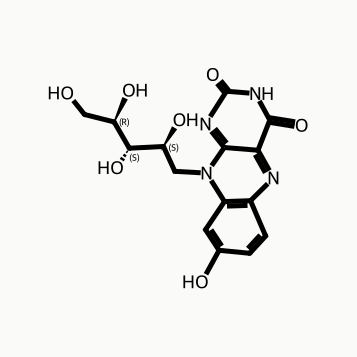 O=c1nc2n(C[C@H](O)[C@H](O)[C@H](O)CO)c3cc(O)ccc3nc-2c(=O)[nH]1